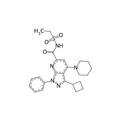 CCS(=O)(=O)NC(=O)c1cc(N2CCCCC2)c2c(C3CCC3)nn(-c3ccccc3)c2n1